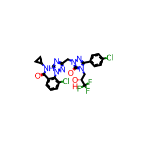 O=C(NC1CC1)c1cccc(Cl)c1-n1cnc(Cn2nc(-c3ccc(Cl)cc3)n(C[C@@H](O)C(F)(F)F)c2=O)n1